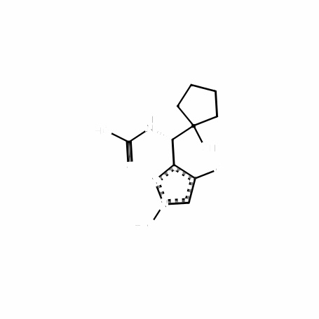 Cn1cc(Cl)c([C@H](NC(=O)O)C2(C)CCCC2)n1